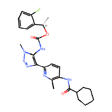 Cc1nc(-c2nnn(C)c2NC(=O)O[C@@H](C)c2ccccc2F)ccc1NC(=O)C1CCCCC1